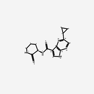 O=C(N[C@@H]1CCCNC1=O)c1c[nH]c2ncc(C3CC3)nc12